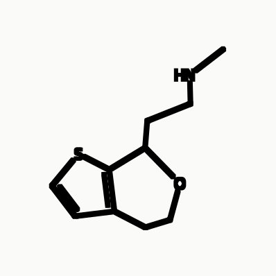 CNCCC1OCCc2ccsc21